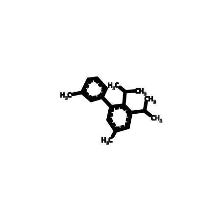 Cc1cccc(-c2cc(C)cc(C(C)C)c2C(C)C)c1